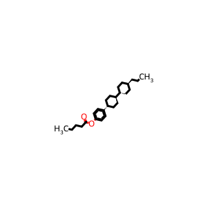 CCCCC(=O)Oc1ccc([C@H]2CC[C@H]([C@H]3CC[C@H](CCC)CC3)CC2)cc1